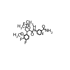 COc1c(C2CC(C)(C(C)(F)F)OC2C(=O)Nc2ccnc(C(N)=O)c2)ccc(F)c1F